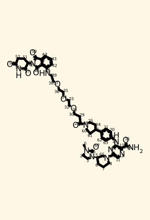 CN1CCN([C@@H]2CCCN(c3cnc(C(N)=O)c(Nc4ccc(C5CCN(C(=O)CCOCCOCCOCCNc6cccc7c6C(=O)N(C6CCC(=O)NC6=O)C7=O)CC5)cc4)n3)C2)C1=O